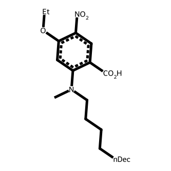 CCCCCCCCCCCCCCN(C)c1cc(OCC)c([N+](=O)[O-])cc1C(=O)O